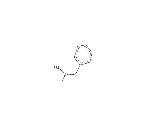 C[S+](S)Cc1ccccc1